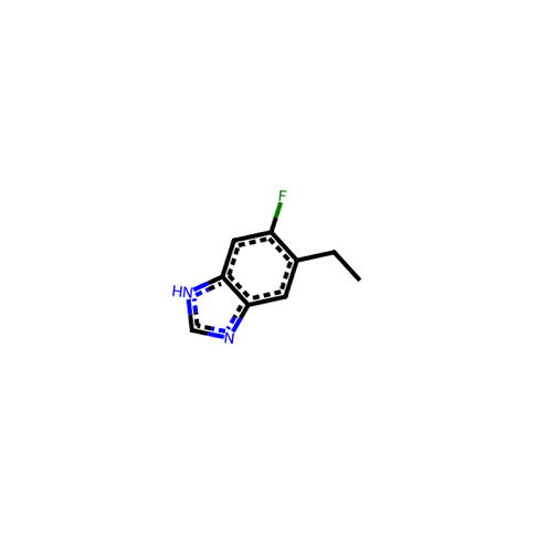 CCc1cc2nc[nH]c2cc1F